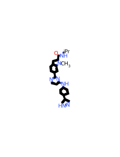 CC(C)NC(=O)c1cc2ccc(-c3nccc(Nc4ccc(-c5cn[nH]c5)cc4)n3)cc2n1C